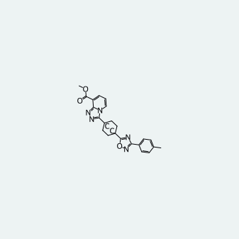 COC(=O)c1cccn2c(C34CCC(c5nc(-c6ccc(C)cc6)no5)(CC3)CC4)nnc12